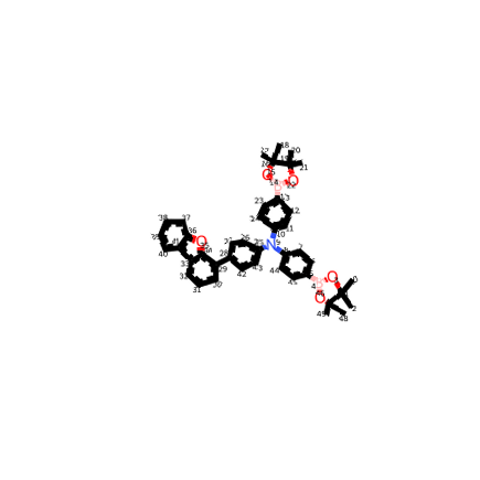 CC1(C)OB(c2ccc(N(c3ccc(B4OC(C)(C)C(C)(C)O4)cc3)c3ccc(-c4cccc5c4oc4ccccc45)cc3)cc2)OC1(C)C